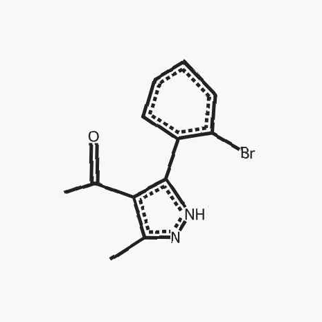 CC(=O)c1c(C)n[nH]c1-c1ccccc1Br